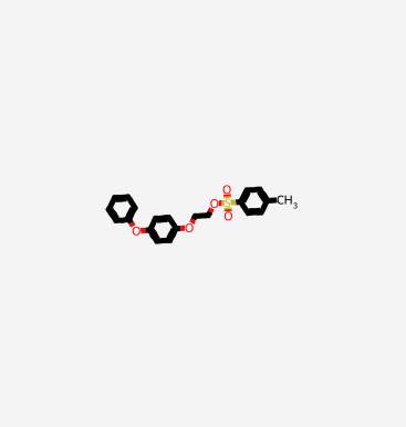 Cc1ccc(S(=O)(=O)OCCOc2ccc(Oc3ccccc3)cc2)cc1